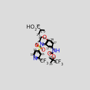 C[C@H](C[C@H]1CN(S(=O)(=O)c2ccnc(C(F)(F)F)c2)c2cc(NC(=O)OC(C)(C)C(F)(F)F)ccc2O1)C(=O)O